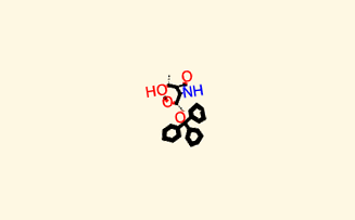 CO[C@@H](COC(c1ccccc1)(c1ccccc1)c1ccccc1)[C@H]1NC(=O)[C@@H]1[C@@H](C)O